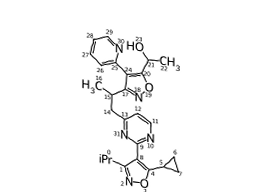 CC(C)c1noc(C2CC2)c1-c1nccc(CC(C)c2noc(C(C)O)c2-c2ccccn2)n1